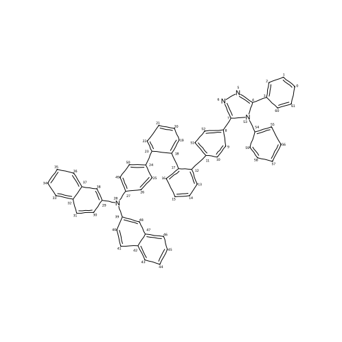 c1ccc(-c2nnc(-c3ccc(-c4ccccc4-c4ccccc4-c4ccc(N(c5ccc6ccccc6c5)c5ccc6ccccc6c5)cc4)cc3)n2-c2ccccc2)cc1